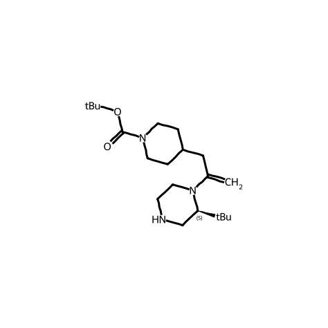 C=C(CC1CCN(C(=O)OC(C)(C)C)CC1)N1CCNC[C@@H]1C(C)(C)C